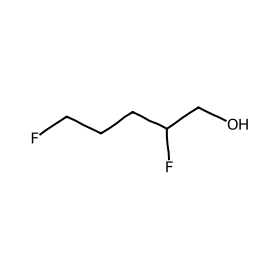 OCC(F)CCCF